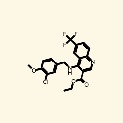 CCOC(=O)c1cnc2ccc(C(F)(F)F)cc2c1NCc1ccc(OC)c(Cl)c1